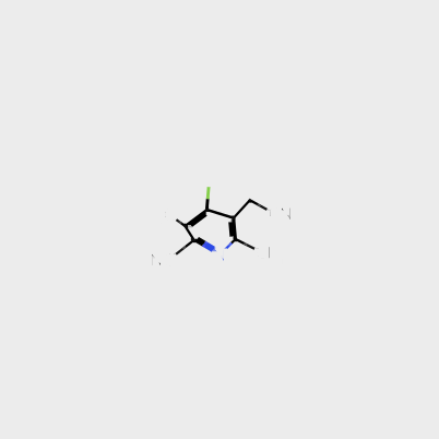 N#CCc1c(C(F)(F)F)nc(C#N)c(C(F)(F)F)c1F